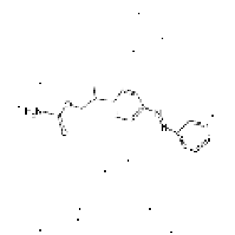 CC(COC(N)=O)c1ccc(N=Nc2ccccc2)cc1